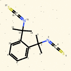 CC(C)(N=C=S)c1ccccc1C(C)(C)N=C=S